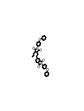 C=C/C=C1/C(=O)N(c2ccc(Oc3ccccc3)cc2)C(=O)/C1=C/Cc1ccc2c(c1)C(=O)N(c1ccc(Oc3ccccc3)cc1)C2=O